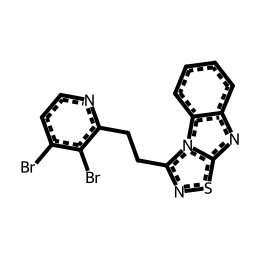 Brc1ccnc(CCc2nsc3nc4ccccc4n23)c1Br